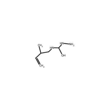 C=CC(C)CNC(O)NN